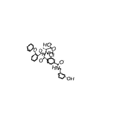 C[C@H](NN(C(=O)c1ccc(C(=O)NCc2cccc(O)c2)cc1Cl)C(=O)c1ccccc1Oc1ccccc1)C(=O)O